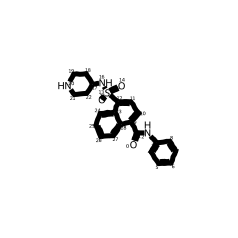 O=C(Nc1ccccc1)c1ccc(S(=O)(=O)NC2CCNCC2)c2ccccc12